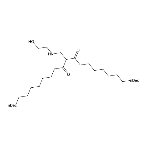 CCCCCCCCCCCCCCCCCC(=O)C(CNCCO)C(=O)CCCCCCCCCCCCCCCCC